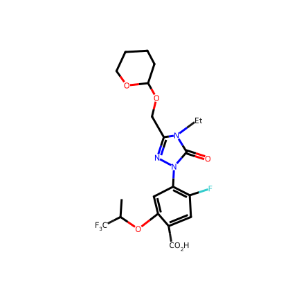 CCn1c(COC2CCCCO2)nn(-c2cc(OC(C)C(F)(F)F)c(C(=O)O)cc2F)c1=O